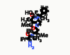 CC[C@H](C)[C@@H]([C@@H](CC(=O)N1CCC[C@H]1[C@H](OC)[C@@H](C)C(=O)NC(C(=O)O)C(C)c1ccccc1)OC)N(C)C(=O)[C@@H](N)C(C)C